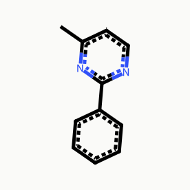 Cc1[c]cnc(-c2ccccc2)n1